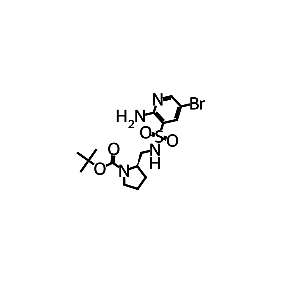 CC(C)(C)OC(=O)N1CCC[C@@H]1CNS(=O)(=O)c1cc(Br)cnc1N